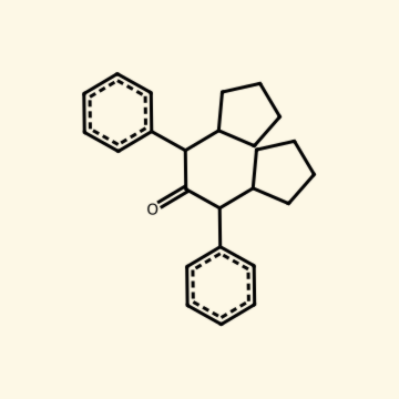 O=C(C(c1ccccc1)C1CCCC1)C(c1ccccc1)C1CCCC1